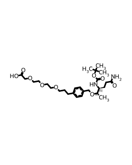 C[C@@H](OCc1ccc(CCCOCCOCCOCC(=O)O)cc1)[C@H](CCC(N)=O)NC(=O)OC(C)(C)C